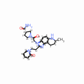 C[C@H]1CCc2c(ccc3c2nc(CCn2ccccc2=O)n3CC(=O)N2CC[C@H](C(N)=O)C2)N1